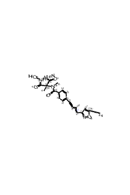 CNC(=O)[C@@](C)(C(=O)NO)N(C)C(=O)c1ccc(C#C/C=C/c2cc(C)on2)cc1